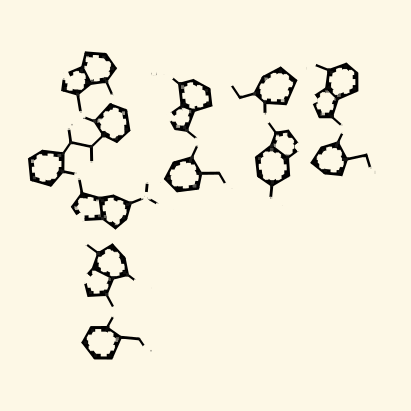 CN(C)c1ccc2scc(Sc3ccccc3C(O)C(O)c3ccccc3Sc3csc4cccc(F)c34)c2c1.COc1cccc2c(Sc3ccccc3CO)csc12.Cc1ccc(C)c2c(Sc3ccccc3CO)csc12.Cc1ccc2c(Sc3ccccc3CO)csc2c1.Cc1cccc2c(Sc3ccccc3CO)csc12